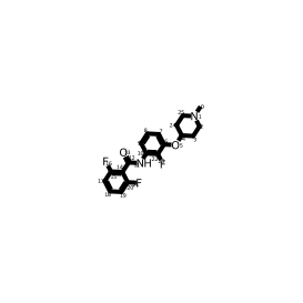 CN1CCC(Oc2cccc(NC(=O)c3c(F)cccc3F)c2F)CC1